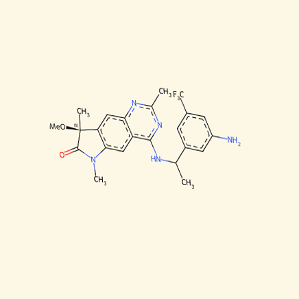 CO[C@]1(C)C(=O)N(C)c2cc3c(NC(C)c4cc(N)cc(C(F)(F)F)c4)nc(C)nc3cc21